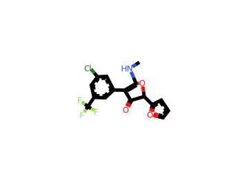 CNC1=C(c2cc(Cl)cc(C(F)(F)F)c2)C(=O)C(c2ccco2)O1